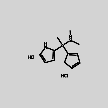 C[SiH](C)[Zr]([CH3])([C]1=CC=CC1)[c]1ccc[nH]1.Cl.Cl